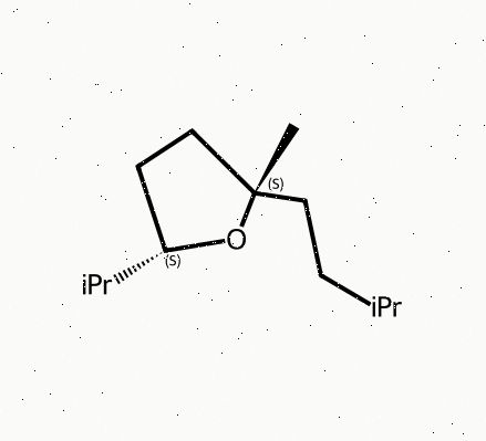 CC(C)CC[C@@]1(C)CC[C@@H](C(C)C)O1